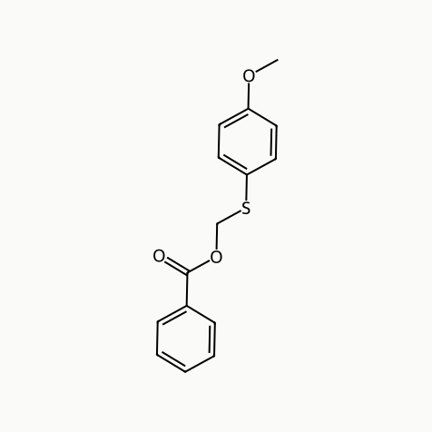 COc1ccc(SCOC(=O)c2ccccc2)cc1